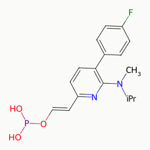 CC(C)N(C)c1nc(/C=C/OP(O)O)ccc1-c1ccc(F)cc1